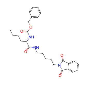 CCCCC(NC(=O)OCc1ccccc1)C(=O)NCCCCCN1C(=O)c2ccccc2C1=O